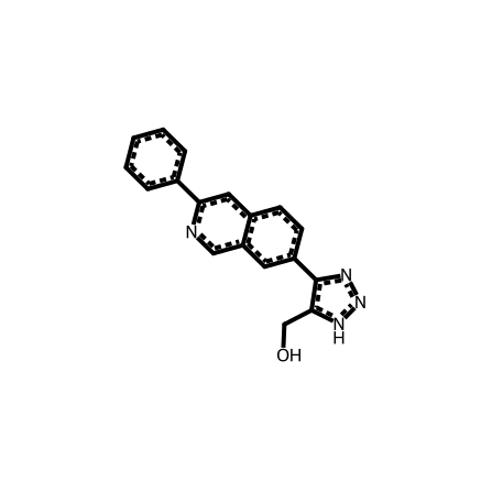 OCc1[nH]nnc1-c1ccc2cc(-c3ccccc3)ncc2c1